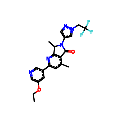 CCOc1cncc(-c2cc(C)c3c(n2)C(C)N(c2cnn(CC(F)(F)F)c2)C3=O)c1